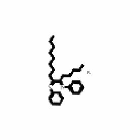 CCCCCCCCC(=Nc1ccccc1)C(CCCCC)=Nc1ccccc1.[Ni]